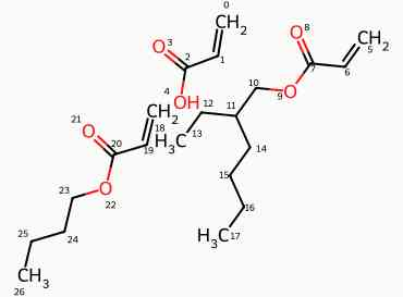 C=CC(=O)O.C=CC(=O)OCC(CC)CCCC.C=CC(=O)OCCCC